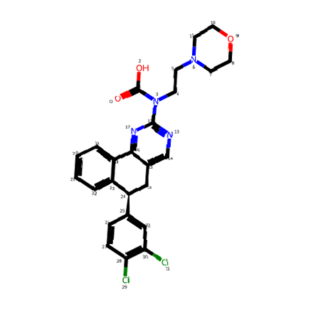 O=C(O)N(CCN1CCOCC1)c1ncc2c(n1)-c1ccccc1[C@H](c1ccc(Cl)c(Cl)c1)C2